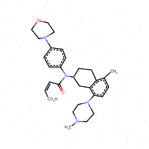 Cc1ccc(N2CCN(C)CC2)c2c1CCC(N(C(=O)/C=C\C(=O)O)c1ccc(N3CCOCC3)cc1)C2